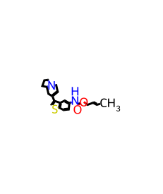 CC=CCOC(=O)Nc1ccc2scc(C3=CCN4CCCC4C3)c2c1